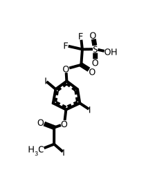 CC(I)C(=O)Oc1cc(I)c(OC(=O)C(F)(F)S(=O)(=O)O)cc1I